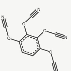 N#COc1ccc(OC#N)c(OC#N)c1OC#N